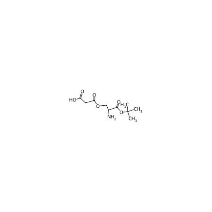 CC(C)(C)OC(=O)C(N)COC(=O)CC(=O)O